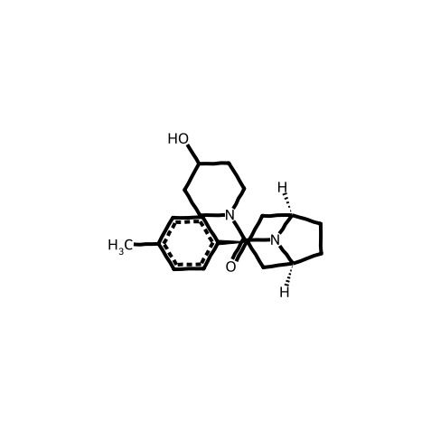 Cc1ccc([C@H]2C[C@H]3CC[C@@H](C2)N3C(=O)N2CCC(O)CC2)cc1